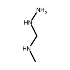 CNCNN